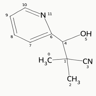 CC(C)(C#N)C(O)c1ccccn1